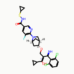 N=C(/C(CO[C@@H]1C[C@@H]2C[C@H]1CN2c1ncc(C(=O)NSC2CC2)cc1F)=C(\O)C1CC1)c1c(Cl)cccc1Cl